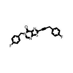 O=c1c2nc(C#CCc3ccc(F)cc3)sc2ncn1Cc1ccc(F)cc1